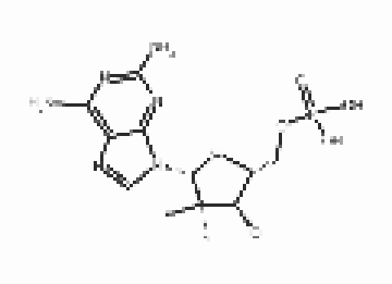 C[C@@]1(F)[C@H](O)[C@@H](COP(=O)(O)O)O[C@H]1n1cnc2c(N)nc(N)nc21